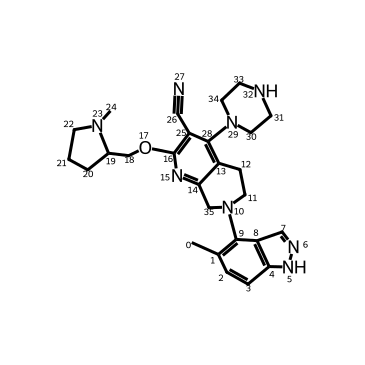 Cc1ccc2[nH]ncc2c1N1CCc2c(nc(OCC3CCCN3C)c(C#N)c2N2CCNCC2)C1